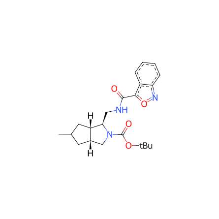 CC1C[C@H]2CN(C(=O)OC(C)(C)C)[C@H](CNC(=O)c3onc4ccccc34)[C@H]2C1